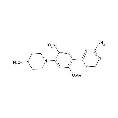 COc1cc(N2CCN(C)CC2)c([N+](=O)[O-])cc1-c1ccnc(N)n1